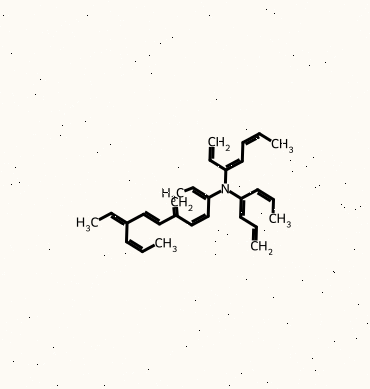 C=C/C=C(\C=C/C)N(/C(C=C)=C/C=C\C)C(/C=C\C(=C)/C=C/C(/C=C\C)=C/C)=C/C